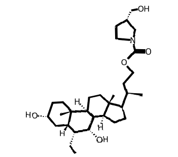 CC[C@H]1[C@@H](O)C2[C@@H]3CC[C@H]([C@H](C)CCOC(=O)N4CC[C@H](CO)C4)[C@@]3(C)CC[C@@H]2[C@@]2(C)CC[C@@H](O)C[C@@H]12